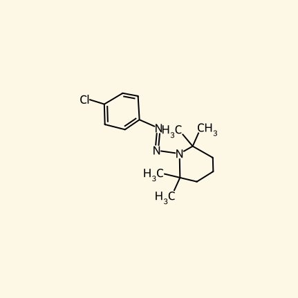 CC1(C)CCCC(C)(C)N1N=Nc1ccc(Cl)cc1